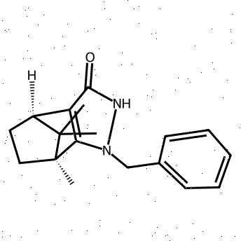 CC1(C)[C@H]2CC[C@]1(C)c1c2c(=O)[nH]n1Cc1ccccc1